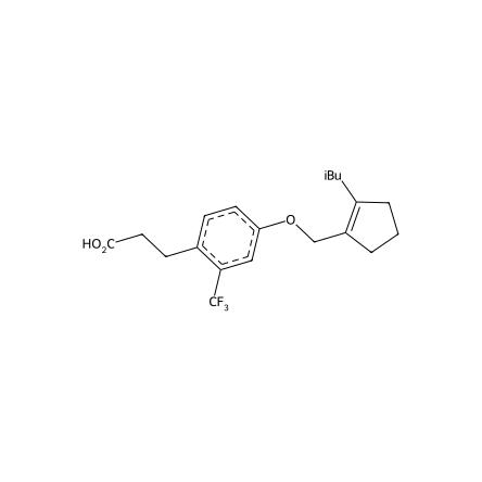 CCC(C)C1=C(COc2ccc(CCC(=O)O)c(C(F)(F)F)c2)CCC1